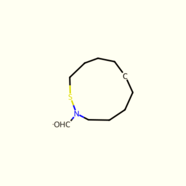 O=[C]N1CCCCCCCCCS1